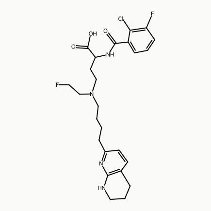 O=C(NC(CCN(CCF)CCCCc1ccc2c(n1)NCCC2)C(=O)O)c1cccc(F)c1Cl